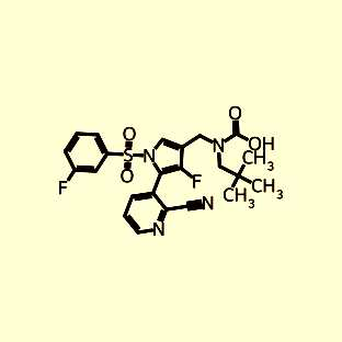 CC(C)(C)CN(Cc1cn(S(=O)(=O)c2cccc(F)c2)c(-c2cccnc2C#N)c1F)C(=O)O